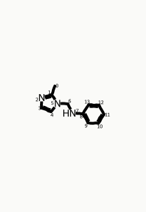 Cc1nccn1CNc1ccccc1